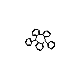 c1ccc(-n2c3ccccc3c3ccccc3n(-c3ccccc3)c3ccccc32)cc1